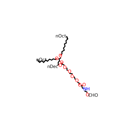 CCCCCCCC/C=C\CCCCCCCCOCC(OCCCCCCCC/C=C\CCCCCCCC)C(CCCCCCCCCCCC)OC(=O)COCCOCCOCCOCCOC(=O)CNCCOC=O